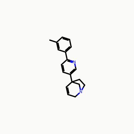 Cc1cccc(-c2ccc(C34C=CCN(CC3)C4)cn2)c1